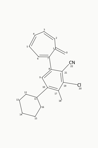 C=C1C=CC=CC=C1c1cc(C2CCCCC2)c(C)c(Cl)c1C#N